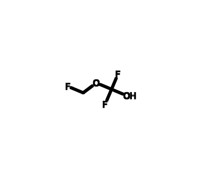 OC(F)(F)OCF